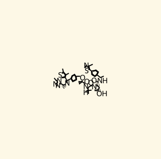 Cc1ncsc1-c1ccc(C(C)NC(=O)[C@@H]2C[C@@H](O)CN2C(=O)C(NC(=O)C2(OCc3ccc(C4=N[C@@H](C)c5nnc(C)n5-c5sc(C)c(C)c54)cc3)CC2)C(C)(C)C)cc1